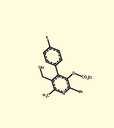 CCOC(=O)Oc1c(C(C)C)nc(C)c(CO)c1-c1ccc(F)cc1